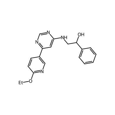 CCOc1ccc(-c2cc(NCC(O)c3ccccc3)ncn2)cn1